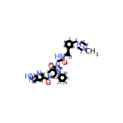 CN1CCN(Cc2cccc(C3CC3NC(=O)CN3CN(c4ccccc4)C4(CCN(C(=O)c5cnc6[nH]ncc6c5)CC4)C3=O)c2)CC1